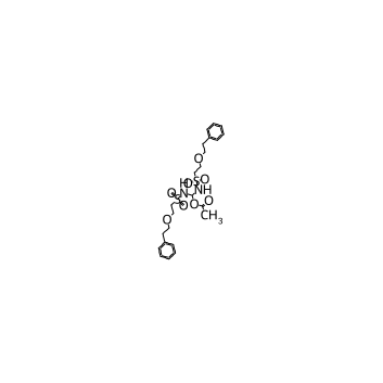 CC(=O)OC(NS(=O)(=O)CCOCCc1ccccc1)NS(=O)(=O)CCOCCc1ccccc1